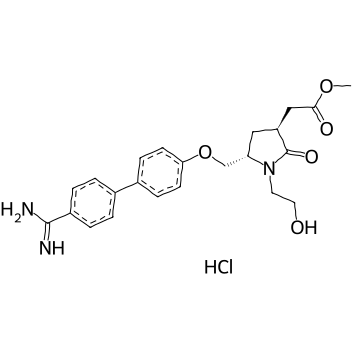 COC(=O)C[C@@H]1C[C@@H](COc2ccc(-c3ccc(C(=N)N)cc3)cc2)N(CCO)C1=O.Cl